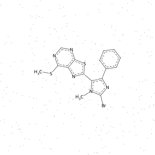 CSc1ncnc2sc(-c3c(-c4ccccc4)nc(Br)n3C)nc12